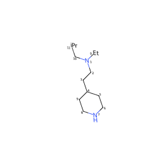 CCN(CCC1CCNCC1)CC(C)C